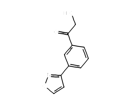 CCC(=O)c1cccc(-c2ccon2)c1